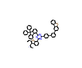 C=Cc1sc2c(-c3nc(-c4ccc(-c5cccc(-c6ccc7sc8ccccc8c7c6)c5)cc4)nc(-c4cccc5c4-c4ccccc4C5(c4ccccc4)c4ccccc4)n3)cccc2c1/C=C\C